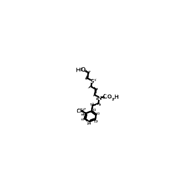 O=C(O)N(CCCSCCO)CCc1ccccc1Cl